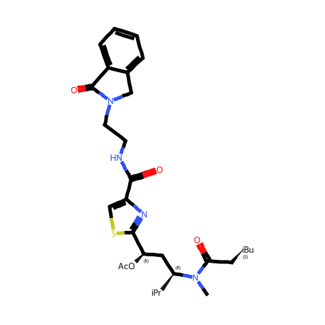 CC[C@H](C)CC(=O)N(C)[C@H](C[C@@H](OC(C)=O)c1nc(C(=O)NCCN2Cc3ccccc3C2=O)cs1)C(C)C